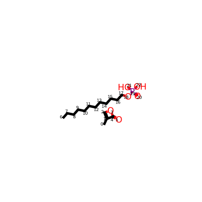 CC1=COC1=O.CCCCCCCCCCCCOP(=O)(O)O